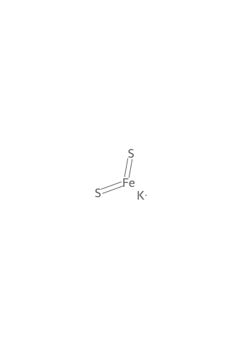 [K].[S]=[Fe]=[S]